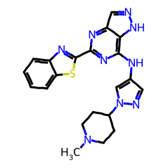 CN1CCC(n2cc(Nc3nc(-c4nc5ccccc5s4)nc4cn[nH]c34)cn2)CC1